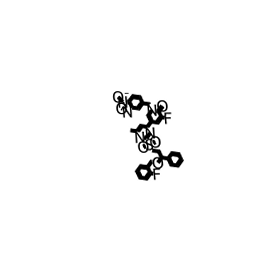 Cc1cc(-c2cc(F)c(=O)n(Cc3ccc4c(c3)no[n+]4[O-])c2)nc(S(=O)(=O)CCC(OCc2ccccc2F)c2ccccc2)n1